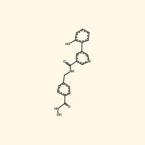 O=C(NO)c1ccc(CNC(=O)c2cncc(-c3ccccc3O)c2)cc1